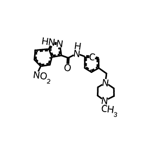 CN1CCN(Cc2ccc(NC(=O)c3n[nH]c4ccc([N+](=O)[O-])cc34)cc2)CC1